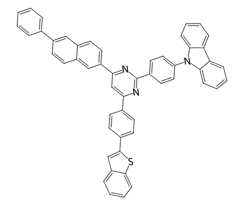 c1ccc(-c2ccc3cc(-c4cc(-c5ccc(-c6cc7ccccc7s6)cc5)nc(-c5ccc(-n6c7ccccc7c7ccccc76)cc5)n4)ccc3c2)cc1